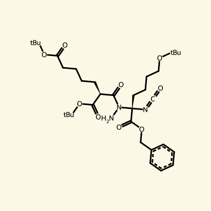 CC(C)(C)OCCCC[C@@](N=C=O)(C(=O)OCc1ccccc1)N(N)C(=O)[C@H](CCCCC(=O)OC(C)(C)C)C(=O)OC(C)(C)C